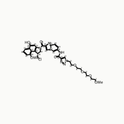 COCCOCCOCCOCCn1cc(C(=O)Nc2ccc3nc(C(=O)N4C[C@@H](CCl)c5c4cc(O)c4cccc(OC)c54)cn3c2)nn1